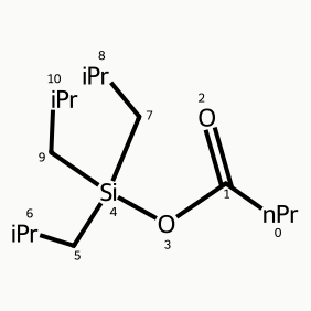 [CH2]CCC(=O)O[Si](CC(C)C)(CC(C)C)CC(C)C